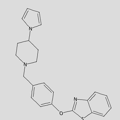 c1ccc2sc(Oc3ccc(CN4CCC(n5cccc5)CC4)cc3)nc2c1